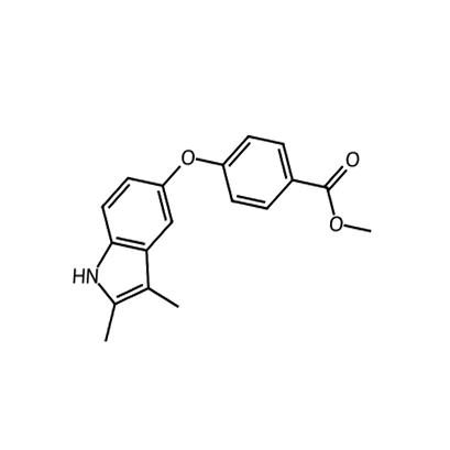 COC(=O)c1ccc(Oc2ccc3[nH]c(C)c(C)c3c2)cc1